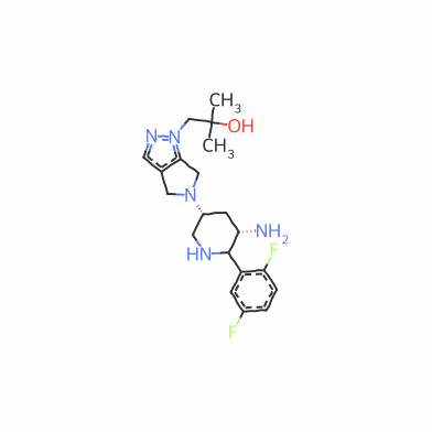 CC(C)(O)Cn1ncc2c1CN([C@H]1CNC(c3cc(F)ccc3F)[C@@H](N)C1)C2